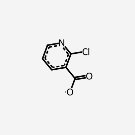 [O]C(=O)c1cccnc1Cl